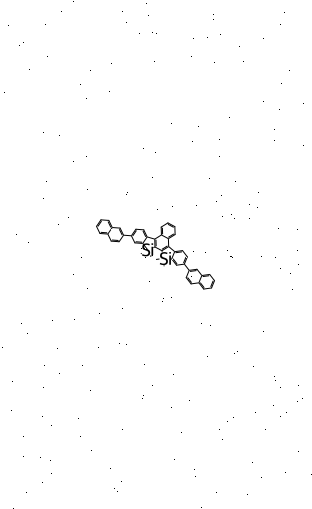 C[Si]1(C)c2cc(-c3ccc4ccccc4c3)ccc2-c2c1c1c(c3ccccc23)-c2ccc(-c3ccc4ccccc4c3)cc2[Si]1(C)C